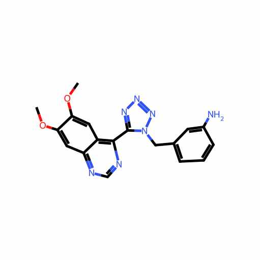 COc1cc2ncnc(-c3nnnn3Cc3cccc(N)c3)c2cc1OC